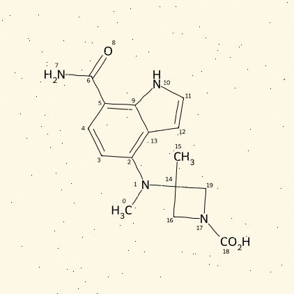 CN(c1ccc(C(N)=O)c2[nH]ccc12)C1(C)CN(C(=O)O)C1